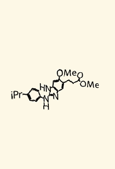 COC(=O)CCc1cc2nc(Nc3ccc(C(C)C)cc3)[nH]c2cc1OC